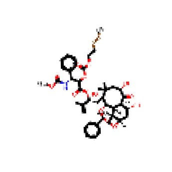 C=C(C)[C@@H](C[C@]1(O)[C@H](OC(=O)c2ccccc2)[C@H]2[C@@]3(OC(C)=O)CO[C@H]3C[C@@H](O)[C@]2(C)C(=O)[C@@H](O)CC1(C)C)OC(=O)C(OC(=O)OCCSSCCC)[C@H](NC(=O)OC(C)(C)C)c1ccccc1